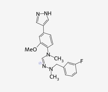 COc1cc(-c2cn[nH]c2)ccc1N(C)/C=N\N(C)Cc1cccc(F)c1